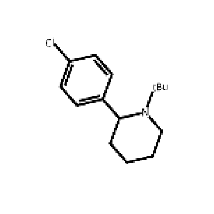 CC(C)(C)N1CCCCC1c1ccc(Cl)cc1